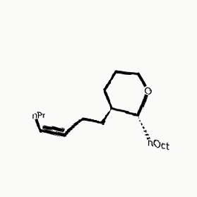 CCC/C=C\CC[C@H]1CCCO[C@@H]1CCCCCCCC